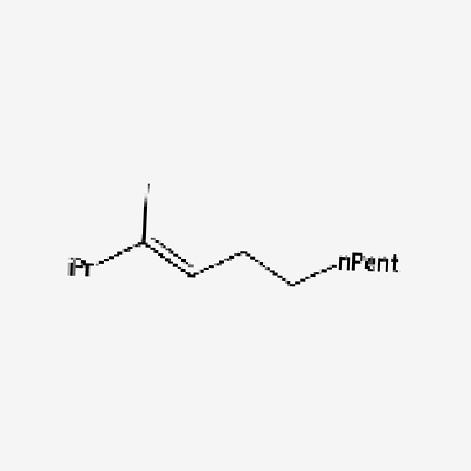 CCCCCCCC=C(C)C(C)C